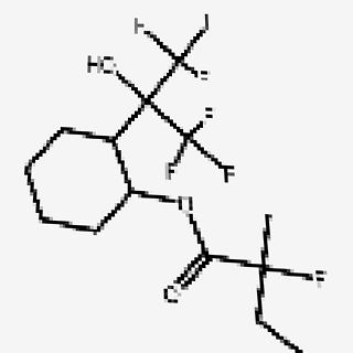 CCC(C)(F)C(=O)OC1CCCCC1C(O)(C(F)(F)F)C(F)(F)F